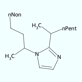 CCCCCCCCCCCC(C)n1ccnc1C(C)CCCCC